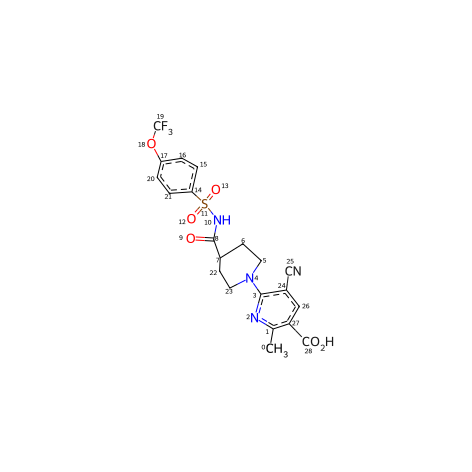 Cc1nc(N2CCC(C(=O)NS(=O)(=O)c3ccc(OC(F)(F)F)cc3)CC2)c(C#N)cc1C(=O)O